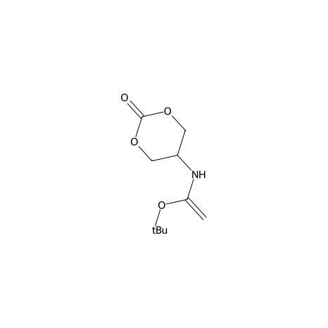 C=C(NC1COC(=O)OC1)OC(C)(C)C